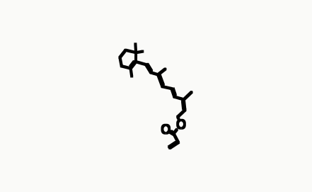 C=CC(=O)OC\C=C(C)/C=C/C=C(C)/C=C/C1=C(C)CCCC1(C)C